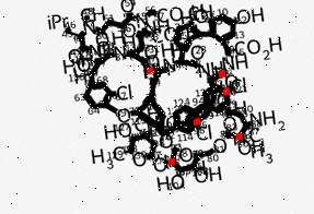 Cc1ccc2cc1-c1c(O)cc(O)cc1[C@H](C(=O)O)NC(=O)[C@H]1NC(=O)[C@@H]2NC(=O)[C@@H]2NC(=O)[C@H](CC(N)=O)NC(=O)[C@H](NC(=O)[C@@H](CC(C)C)N(C)C(=O)CCC(=O)N(CC(=O)O)CC(=O)O)[C@H](O)c3ccc(c(Cl)c3)Oc3cc2cc2c3O[C@@H]3O[C@H](CO[C@@H]4O[C@H](C[C@](C)(N)[C@H]4O)O[C@@H]1c1ccc(c(Cl)c1)O2)[C@@H](O)[C@H](O)[C@H]3O[C@H]1C[C@](C)(NCc2ccc(-c3ccc(Cl)cc3)cc2)[C@@H](O)[C@H](C)O1